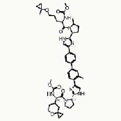 COC(=O)NC(CCCOC1(C)CC1)C(=O)N1C(C)CCC1c1nc(-c2ccc(-c3ccc(-c4c[nH]c([C@@H]5CCCN5C(=O)[C@@H](NC(=O)OC)C5CCOC6(CC6)C5)n4)c(C)c3)cc2)c[nH]1